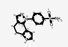 NS(=O)(=O)c1ccc(-n2ncc3c2-c2ccsc2CC3)cc1